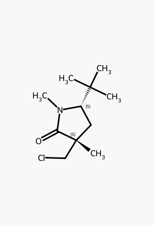 CN1C(=O)[C@@](C)(CCl)C[C@H]1C(C)(C)C